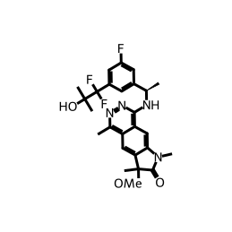 COC1(C)C(=O)N(C)c2cc3c(N[C@H](C)c4cc(F)cc(C(F)(F)C(C)(C)O)c4)nnc(C)c3cc21